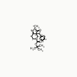 CN1N=C2CCN(C(=O)OC(C)(C)C)CC2(Cc2nccs2)C1=O